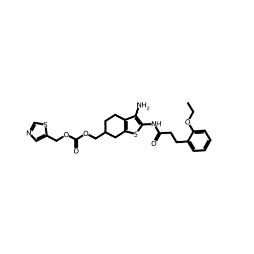 CCOc1ccccc1CCC(=O)Nc1sc2c(c1N)CCC(COC(=O)OCc1cncs1)C2